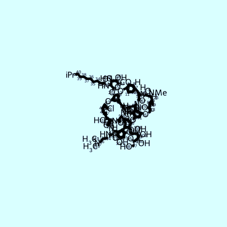 CN[C@H]1C(=O)N[C@@H]2Cc3ccc(cc3)Oc3cc4cc(c3O[C@@H]3O[C@H](C(=O)O)[C@@H](O)[C@H](O)[C@H]3NC(=O)CCCCCCCCC(C)C)Oc3ccc(cc3Cl)[C@@H](O)[C@@H]3NC(=O)C(NC(=O)[C@@H]4NC(=O)[C@@H](NC2=O)c2cc(cc(O)c2Cl)Oc2ccc1cc2O)c1ccc(O)c(c1)-c1c(OC2O[C@H](CO)[C@@H](O)[C@H](O)[C@@H]2O)cc(O)cc1[C@@H](C(=O)NCCCN(C)C)NC3=O